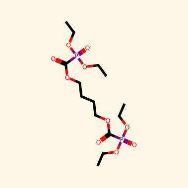 CCOP(=O)(OCC)C(=O)OCCCCOC(=O)P(=O)(OCC)OCC